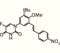 COc1c(C=Cc2ccc([N+](=O)[O-])cc2)cc(-n2cc(F)c(=O)[nH]c2=O)cc1C(C)(C)C